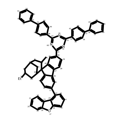 CCC1CC2CC(C)C3(c4ccc(-c5cccc6oc7ccccc7c56)cc4-c4ccc(-c5nc(-c6ccc(-c7ccccc7)cc6)nc(-c6ccc(-c7ccccc7)cc6)n5)cc43)C(C1)C2